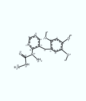 COc1cc(OC)c(OC)cc1Cc1cncnc1N(N)C(=O)NN